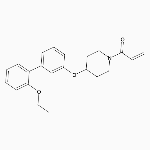 C=CC(=O)N1CCC(Oc2cccc(-c3ccccc3OCC)c2)CC1